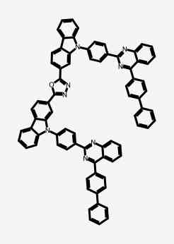 c1ccc(-c2ccc(-c3nc(-c4ccc(-n5c6ccccc6c6ccc(-c7nnc(-c8ccc9c%10ccccc%10n(-c%10ccc(-c%11nc(-c%12ccc(-c%13ccccc%13)cc%12)c%12ccccc%12n%11)cc%10)c9c8)o7)cc65)cc4)nc4ccccc34)cc2)cc1